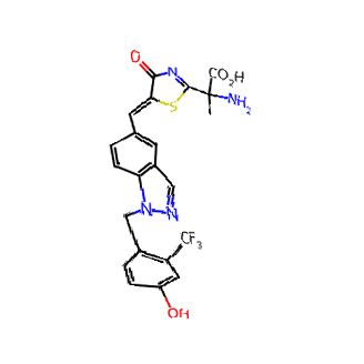 CC(N)(C(=O)O)C1=NC(=O)C(=Cc2ccc3c(cnn3Cc3ccc(O)cc3C(F)(F)F)c2)S1